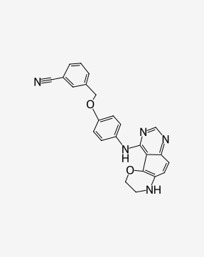 N#Cc1cccc(COc2ccc(Nc3ncnc4ccc5c(c34)OCCN5)cc2)c1